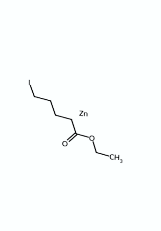 CCOC(=O)CCCCI.[Zn]